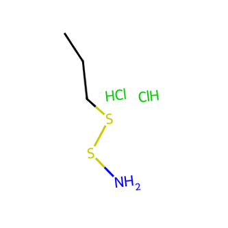 CCCSSN.Cl.Cl